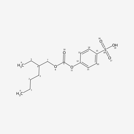 CCCCC(CC)COC(=O)Oc1ccc(S(=O)(=O)O)cc1